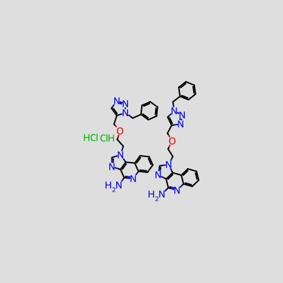 Cl.Cl.Nc1nc2ccccc2c2c1ncn2CCOCc1cn(Cc2ccccc2)nn1.Nc1nc2ccccc2c2c1ncn2CCOCc1cnnn1Cc1ccccc1